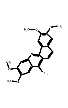 COc1cc2ccc3c(C)c4cc(OC)c(OC)cc4nc3c2cc1OC